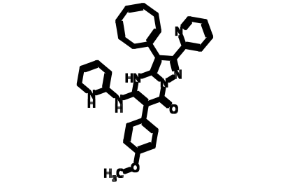 COc1ccc(-c2c(NC3=CC=CCN3)[nH]c3c(/C4=C/CC=C/C=C\C4)c(-c4ccccn4)nn3c2=O)cc1